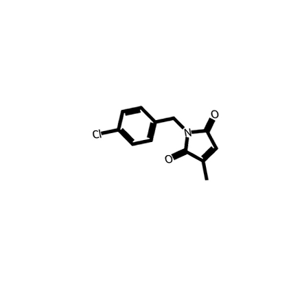 CC1=CC(=O)N(Cc2ccc(Cl)cc2)C1=O